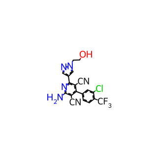 N#Cc1c(N)nc(-c2cnn(CCO)c2)c(C#N)c1-c1ccc(C(F)(F)F)c(Cl)c1